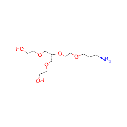 NCCCOCCOC(COCCO)COCCO